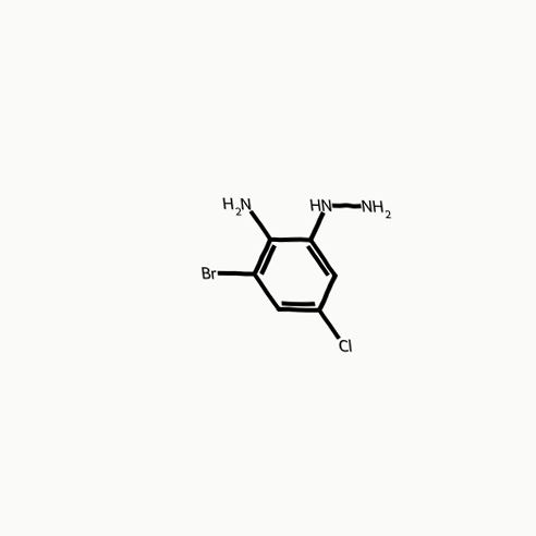 NNc1cc(Cl)cc(Br)c1N